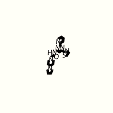 O=C(CN1CCC(N2CCCC2)CC1)Nc1cc(-c2nccs2)nc(-c2ccccn2)n1